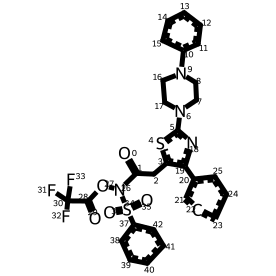 O=C(Cc1sc(N2CCN(c3ccccc3)CC2)nc1-c1ccccc1)N(OC(=O)C(F)(F)F)S(=O)(=O)c1ccccc1